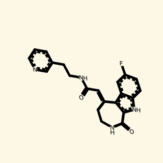 O=C(/C=C1\CCNC(=O)c2[nH]c3ccc(F)cc3c21)NCCc1cccnc1